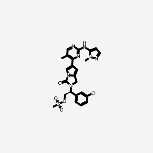 Cc1cnc(Nc2ccnn2C)nc1-c1cc2n(c1)C(=O)N([C@H](COS(C)(=O)=O)c1cccc(Cl)c1)C2